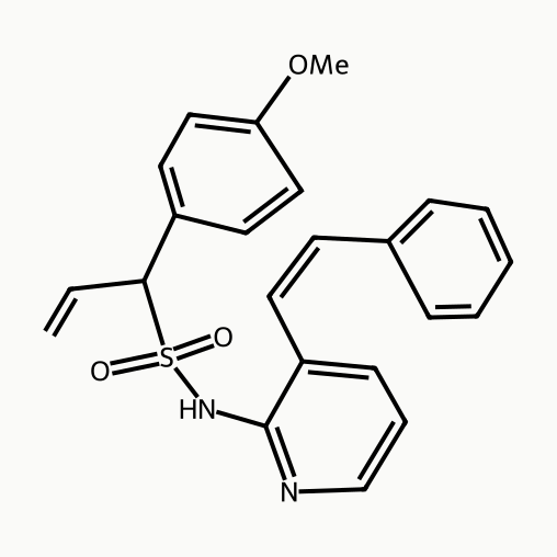 C=CC(c1ccc(OC)cc1)S(=O)(=O)Nc1ncccc1C=Cc1ccccc1